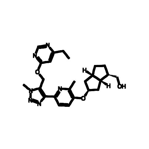 CCc1cc(OCc2c(-c3ccc(O[C@H]4C[C@@H]5CC[C@H](CO)[C@@H]5C4)c(C)n3)nnn2C)ncn1